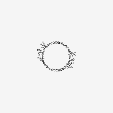 CC(C)(C)CC1CC(C(=O)O)CC(C(C)(C)C)C(=O)OCCOCCOCCOCCOC(=O)C(C(C)(C)C)CC(C(=O)O)CC(CC(C)(C)C)C(=O)OCCOCCOCCOCCOC1=O